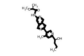 CCC[C@H](O)c1cc(C)c(-c2cc3cnc(NC(=O)[C@H](C)OC)cc3cn2)cn1